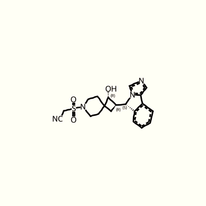 N#CCS(=O)(=O)N1CCC2(CC1)C[C@H]([C@H]1c3ccccc3-c3cncn31)[C@H]2O